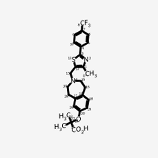 Cc1nc(-c2ccc(C(F)(F)F)cc2)sc1CN1CCc2ccc(OC(C)(C)C(=O)O)cc2CC1